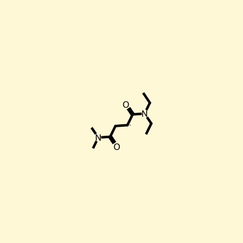 CCN(CC)C(=O)[CH]CC(=O)N(C)C